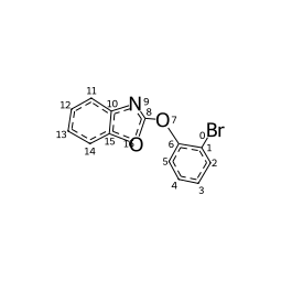 Brc1ccccc1Oc1nc2ccccc2o1